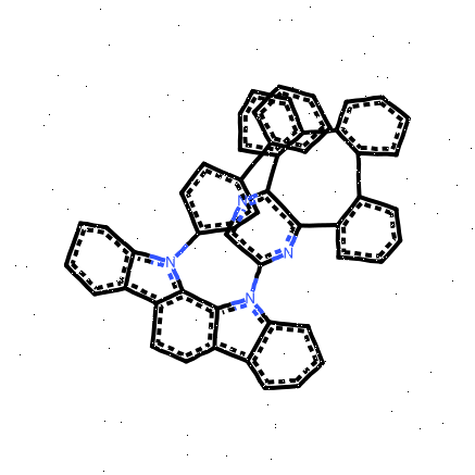 c1ccc(-c2ccc(-n3c4ccccc4c4ccc5c6ccccc6n(-c6cnc7c(n6)-c6ccccc6-c6ccccc6-c6ccccc6-7)c5c43)cc2)cc1